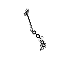 CCOC(=O)C(C)Oc1ccc(OC(=O)c2ccc(-c3ccc(OCCCCCCCCCCC[Si](C)(OC)O[Si](C)(C)C)cc3)cc2)cc1